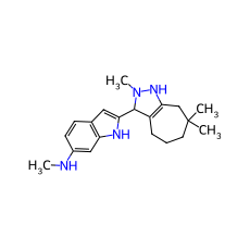 CNc1ccc2cc(C3C4=C(CC(C)(C)CCC4)NN3C)[nH]c2c1